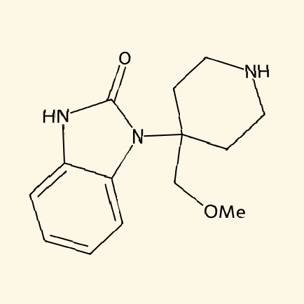 COCC1(n2c(=O)[nH]c3ccccc32)CCNCC1